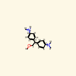 COCC(c1ccc(N(C)C)cc1)c1ccc(N(C)C)cc1